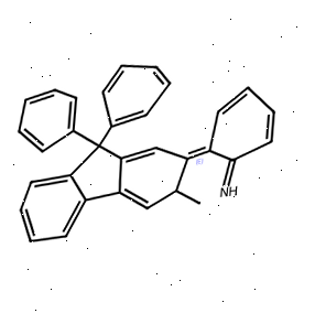 CC1C=C2C(=C/C1=C1\C=CC=CC1=N)C(c1ccccc1)(c1ccccc1)c1ccccc12